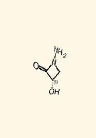 NN1C[C@H](O)C1=O